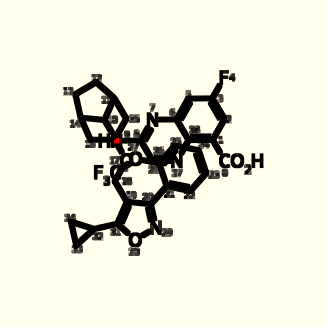 O=C(O)c1cc(F)cc2nc(NC3C4CCC3CC(OCc3c(-c5ccccc5OC(F)(F)F)noc3C3CC3)C4)cnc12